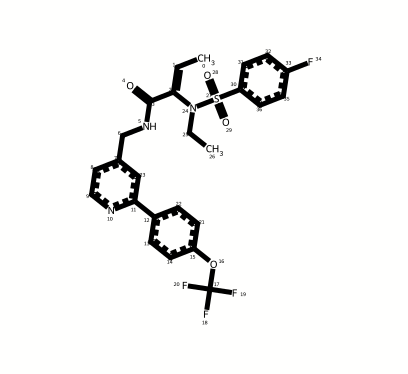 CC=C(C(=O)NCc1ccnc(-c2ccc(OC(F)(F)F)cc2)c1)N(CC)S(=O)(=O)c1ccc(F)cc1